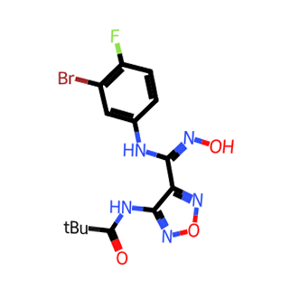 CC(C)(C)C(=O)Nc1nonc1/C(=N\O)Nc1ccc(F)c(Br)c1